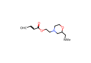 CNCC1CN(CCOC(=O)/C=C/C=O)CCO1